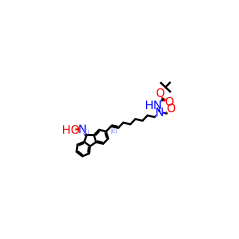 CC(C)(C)OC(=O)NN(C=O)CCCCCC/C=C/c1ccc2c(c1)/C(=N/O)c1ccccc1-2